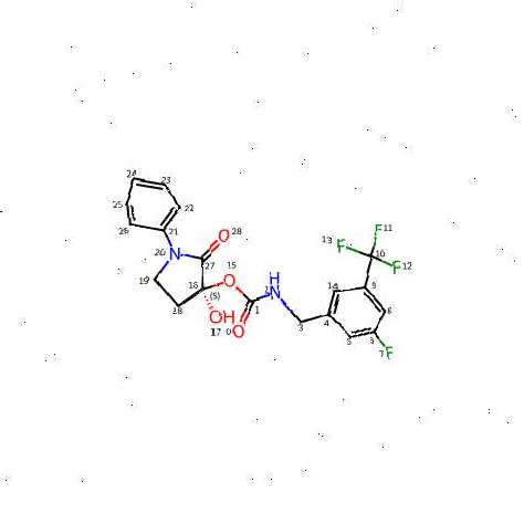 O=C(NCc1cc(F)cc(C(F)(F)F)c1)O[C@@]1(O)CCN(c2ccccc2)C1=O